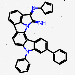 N=C1/C(=N\C2C=CC=C2)c2cccc3c4ccc5c(c6ccc(-c7ccccc7)cc6n5-c5ccccc5)c4n1c23